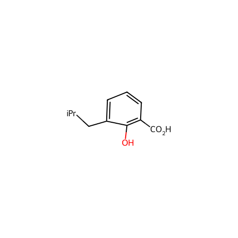 CC(C)Cc1cccc(C(=O)O)c1O